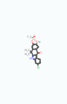 CC1(C)c2cc(OS(=O)(=O)C(F)(F)F)c(C#N)cc2C(=O)c2c1[nH]c1cc(Br)ccc21